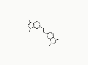 CC1=CC(C)c2cc(CCc3ccc4c(c3)C(C)C=C4C)ccc21